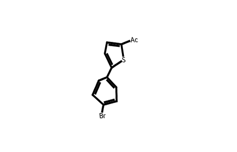 CC(=O)c1ccc(-c2ccc(Br)cc2)s1